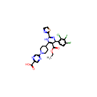 CCOC(=O)C1=C(C2CCN(c3cnc(C(=O)O)cn3)CC2)NC(c2nccs2)=NC1c1ccc(F)c(F)c1Cl